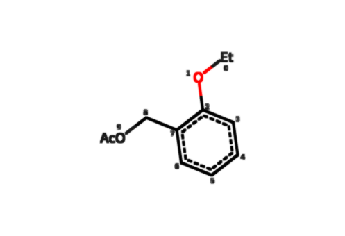 CCOc1ccccc1COC(C)=O